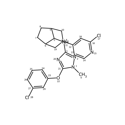 Cn1nc(NC2C3CCC2CN(c2ccnc(Cl)c2)C3)nc1Oc1cccc(Cl)c1